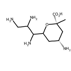 C[C@@]1(C(=O)O)C[C@H](N)CC(C(N)C(N)CN)O1